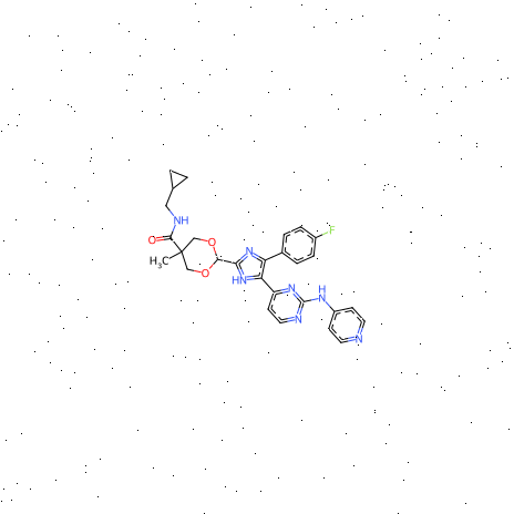 CC1(C(=O)NCC2CC2)COC(c2nc(-c3ccc(F)cc3)c(-c3ccnc(Nc4ccncc4)n3)[nH]2)OC1